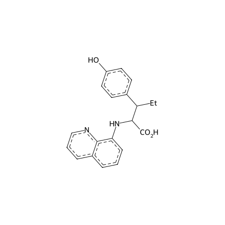 CCC(c1ccc(O)cc1)C(Nc1cccc2cccnc12)C(=O)O